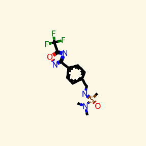 CN(C)S(C)(=O)=NCc1ccc(-c2noc(C(F)(F)F)n2)cc1